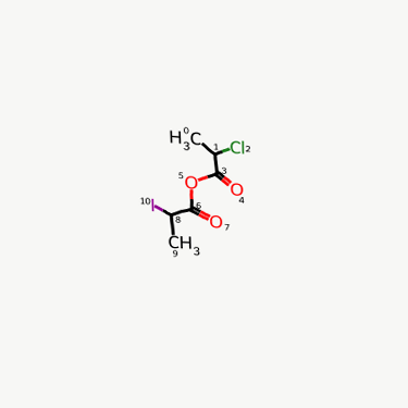 CC(Cl)C(=O)OC(=O)C(C)I